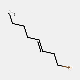 CCCC/C=C/CCBr